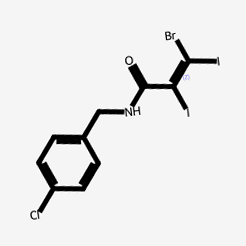 O=C(NCc1ccc(Cl)cc1)/C(I)=C(\Br)I